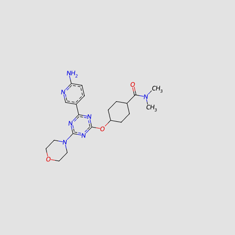 CN(C)C(=O)C1CCC(Oc2nc(-c3ccc(N)nc3)nc(N3CCOCC3)n2)CC1